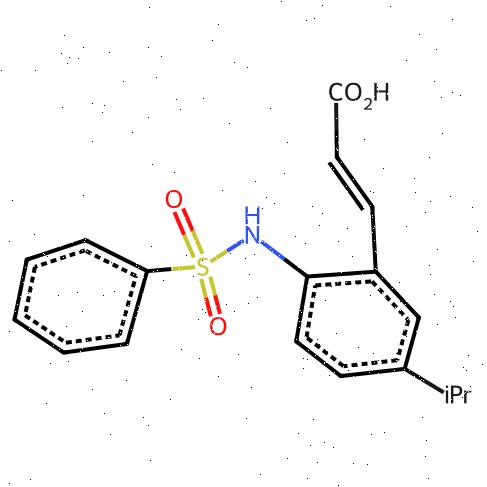 CC(C)c1ccc(NS(=O)(=O)c2ccccc2)c(/C=C/C(=O)O)c1